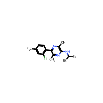 CCC(CC)Nc1nc(C)c(-c2ccc(C(F)(F)F)cc2Cl)nc1C#N